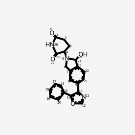 O=C1CCC(N2Cc3cc(-c4ncoc4-c4ccccc4)ccc3C2O)C(=O)N1